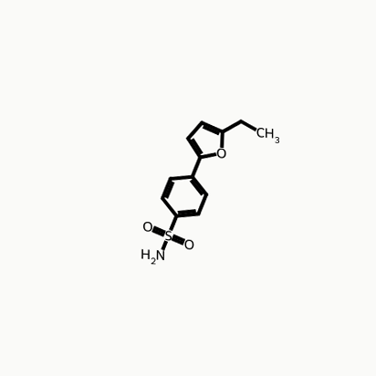 CCc1ccc(-c2ccc(S(N)(=O)=O)cc2)o1